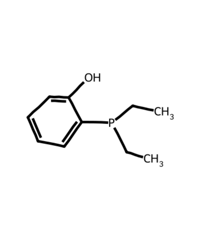 CCP(CC)c1ccccc1O